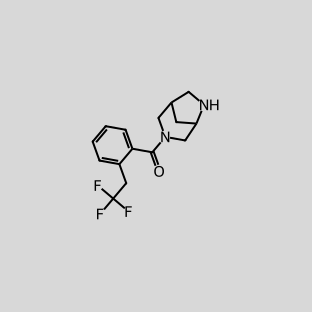 O=C(c1ccccc1CC(F)(F)F)N1CC2CNC(C2)C1